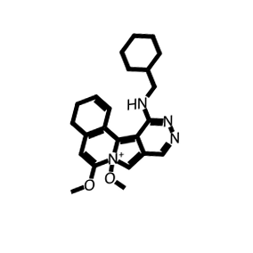 COC1=CC2=C(C=CCC2)C2=c3c(NCC4CCCCC4)nncc3=C[N+]12OC